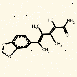 C/C(C(N)=O)=C(C)\C(C)=C(/C)c1ccc2c(c1)OCO2